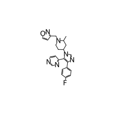 CC1CC(n2cnc(-c3ccc(F)cc3)c2-c2ccncn2)CCN1Cc1ccon1